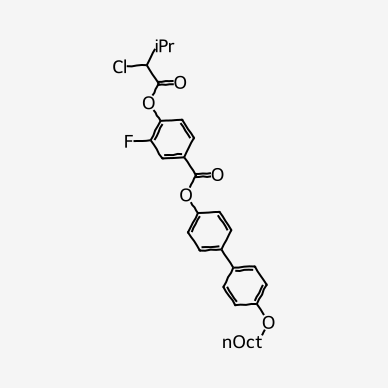 CCCCCCCCOc1ccc(-c2ccc(OC(=O)c3ccc(OC(=O)C(Cl)C(C)C)c(F)c3)cc2)cc1